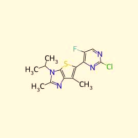 Cc1c(-c2nc(Cl)ncc2F)sc2c1nc(C)n2C(C)C